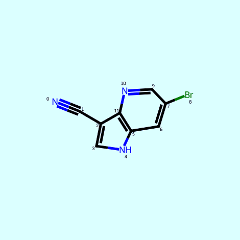 N#Cc1c[nH]c2cc(Br)cnc12